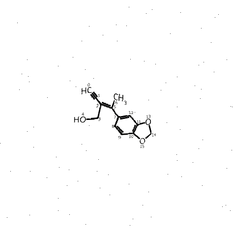 C#CC(CO)=C(C)c1ccc2c(c1)OCO2